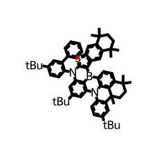 CC(C)(C)c1ccc(N2c3cc(C(C)(C)C)cc4c3B(c3ccc5c6c3N4c3ccc(C(C)(C)C)cc3C6(C)CCC5(C)C)c3c2sc2cc4c(cc32)C(C)(C)CCC4(C)C)c(-c2ccccc2)c1